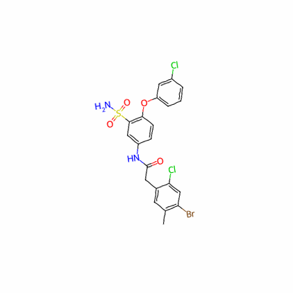 Cc1cc(CC(=O)Nc2ccc(Oc3cccc(Cl)c3)c(S(N)(=O)=O)c2)c(Cl)cc1Br